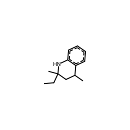 CCC1(C)CC(C)c2ccccc2N1